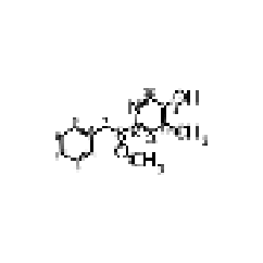 COB(Cc1ccccc1)c1cc(C)c(O)cn1